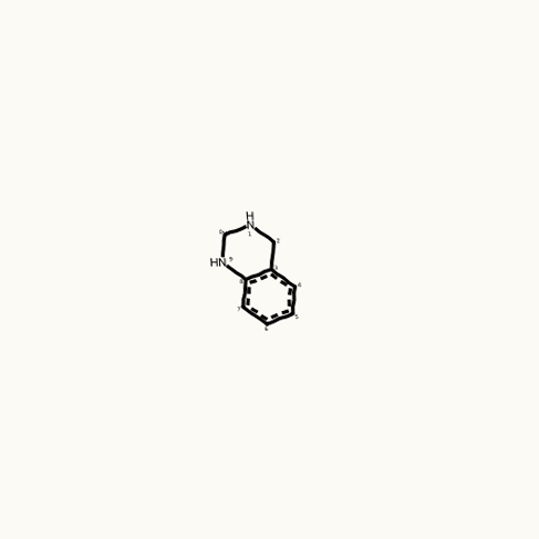 [C]1NCc2ccccc2N1